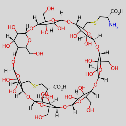 C[C@H](CSCC1O[C@@H]2O[C@@H]3C(CO)O[C@@H](O[C@@H]4C(CO)O[C@@H](O[C@@H]5C(CSC[C@@H](N)C(=O)O)O[C@@H](O[C@@H]6C(CO)O[C@H](O[C@@H]7C(CO)O[C@H](O[C@@H]8C(CO)O[C@H](O[C@@H]1[C@H](O)C2O)C(O)[C@H]8O)[C@@H](O)C7O)[C@@H](O)C6O)[C@@H](O)C5O)[C@@H](O)C4O)C(O)[C@H]3O)C(=O)O